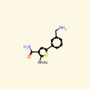 CC(=O)Nc1sc(-c2cccc(CN)c2)cc1C(N)=O